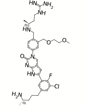 COCCOCc1cc(-n2cc3cc(-c4cc(CCC[C@H](C)N)cc(Cl)c4F)[nH]c3nc2=O)ccc1CN[C@@H](C)CCNC(=N)N